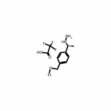 CCOCc1ccc([C@H](C)NN)cc1.O=C(O)C(F)(F)F